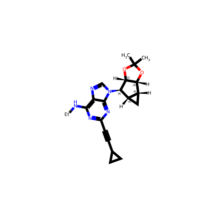 CCNc1nc(C#CC2CC2)nc2c1ncn2[C@@H]1[C@H]2C[C@H]2[C@H]2OC(C)(C)O[C@H]21